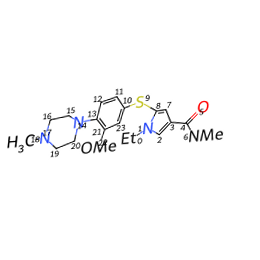 CCn1cc(C(=O)NC)cc1Sc1ccc(N2CCN(C)CC2)c(OC)c1